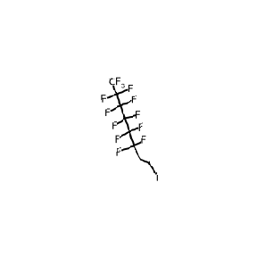 FC(F)(F)C(F)(F)C(F)(F)C(F)(F)C(F)(F)C(F)(F)CCI